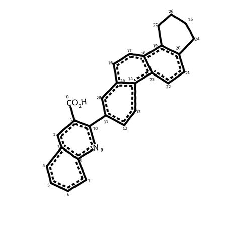 O=C(O)c1cc2ccccc2nc1-c1ccc2c(ccc3c4c(ccc32)CCCC4)c1